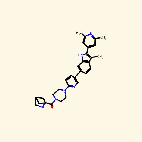 Cc1cc(-c2[nH]c3cc(-c4ccc(N5CCN(C(=O)C67CC(CN6)C7)CC5)nc4)ccc3c2C)cc(C)n1